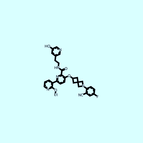 CCOc1ncccc1-c1ccc(OC2CC3(C2)CN(c2ccc(F)cc2C#N)C3)c(C(=O)NCCc2cncc(O)c2)n1